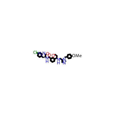 COc1ccc(Cn2cncc2CNC2CCOc3c(C(=O)N[C@@H](Cc4ccc(Cl)cc4)C(N)=O)cccc32)cc1